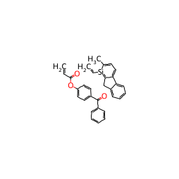 C=CC(=O)Oc1ccc(C(=O)c2ccccc2)cc1.C=C[si]1c(C)ccc2c1Cc1ccccc1-2